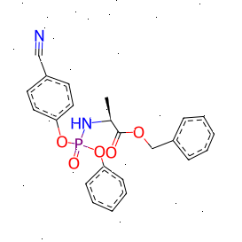 C[C@H](NP(=O)(Oc1ccccc1)Oc1ccc(C#N)cc1)C(=O)OCc1ccccc1